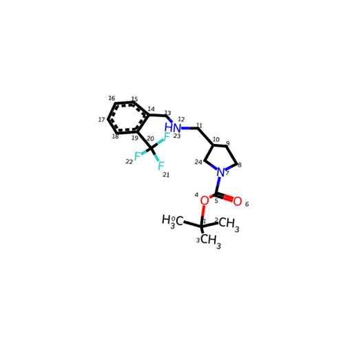 CC(C)(C)OC(=O)N1CCC(CNCc2ccccc2C(F)(F)F)C1